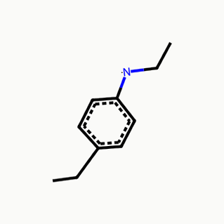 CC[N]c1ccc(CC)cc1